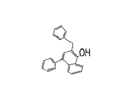 Oc1c(Cc2ccccc2)cc(-c2ccccc2)c2ccccc12